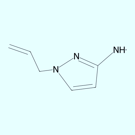 C=CCn1ccc([NH])n1